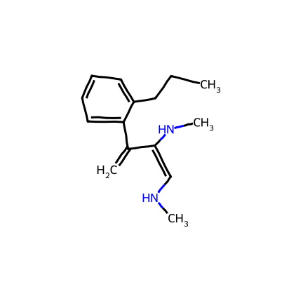 C=C(/C(=C\NC)NC)c1ccccc1CCC